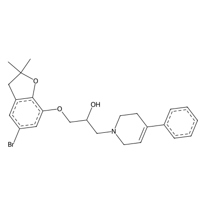 CC1(C)Cc2cc(Br)cc(OCC(O)CN3CC=C(c4ccccc4)CC3)c2O1